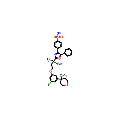 CNC(C)(CCOc1cc(F)cc(C2(OC)CCOCC2)c1)c1nc(-c2ccc(S(N)(=O)=O)cc2)c(-c2ccccc2)o1